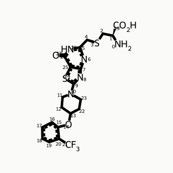 N[C@@H](CSCc1nc2nc(N3CCC(Oc4ccccc4C(F)(F)F)CC3)sc2c(=O)[nH]1)C(=O)O